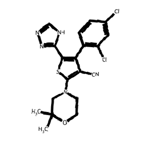 CC1(C)CN(c2sc(-c3nnc[nH]3)c(-c3ccc(Cl)cc3Cl)c2C#N)CCO1